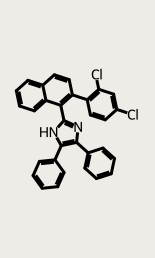 Clc1ccc(-c2ccc3ccccc3c2-c2nc(-c3ccccc3)c(-c3ccccc3)[nH]2)c(Cl)c1